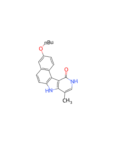 CCCCOc1ccc2c(ccc3[nH]c4c(C)c[nH]c(=O)c4c32)c1